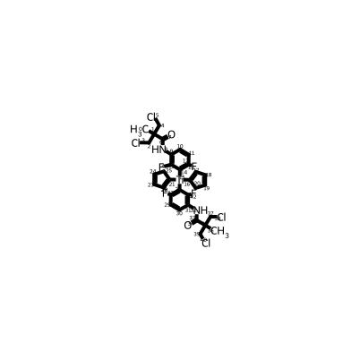 CC(CCl)(CCl)C(=O)Nc1ccc(F)[c]([Ti]([C]2=CC=CC2)([C]2=CC=CC2)[c]2c(F)ccc(NC(=O)C(C)(CCl)CCl)c2F)c1F